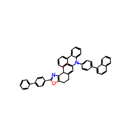 C1=C2CCc3oc(-c4ccc(-c5ccccc5)cc4)nc3C2CC=C1N(c1ccc(-c2cccc3ccccc23)cc1)c1ccccc1-c1ccccc1